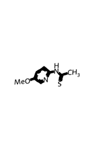 COc1ccc(NC(C)=S)nc1